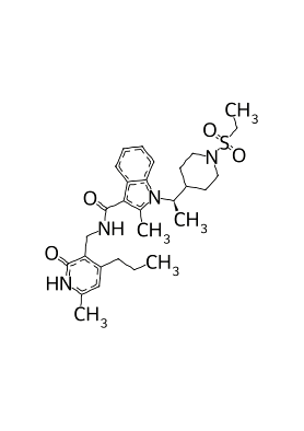 CCCc1cc(C)[nH]c(=O)c1CNC(=O)c1c(C)n([C@H](C)C2CCN(S(=O)(=O)CC)CC2)c2ccccc12